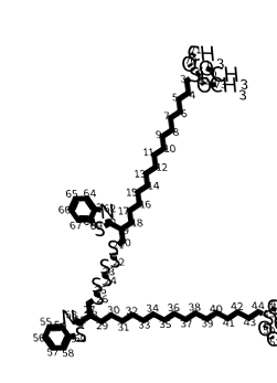 CO[Si](CCCCCCCCCCCCCCCCC(CSSSSSSCC(CCCCCCCCCCCCCCCC[Si](OC)(OC)OC)c1nc2ccccc2s1)c1nc2ccccc2s1)(OC)OC